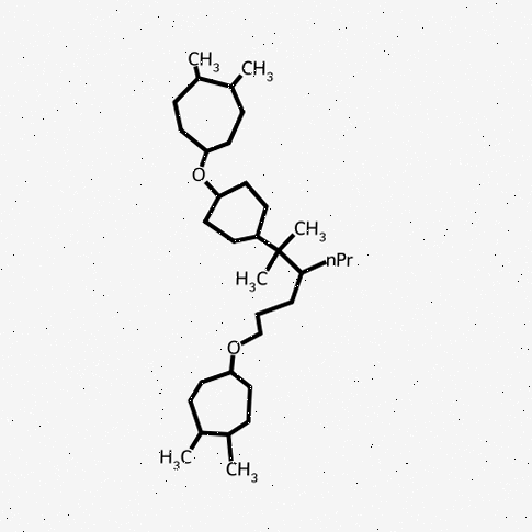 CCCC(CCCOC1CCC(C)C(C)CC1)C(C)(C)C1CCC(OC2CCC(C)C(C)CC2)CC1